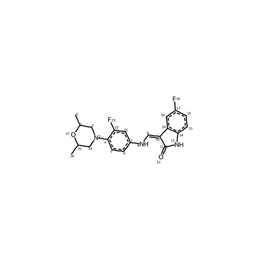 CC1CN(c2ccc(NC=C3C(=O)Nc4ccc(F)cc43)cc2F)CC(C)O1